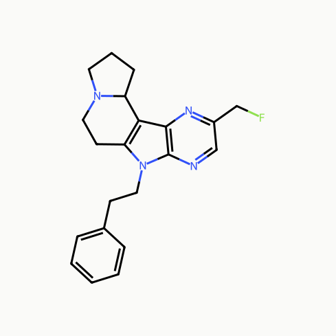 FCc1cnc2c(n1)c1c(n2CCc2ccccc2)CCN2CCCC12